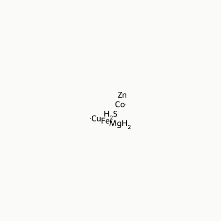 S.[Co].[Cu].[Fe].[MgH2].[Zn]